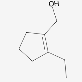 CCC1=C(CO)CCC1